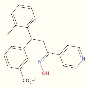 Cc1ccccc1C(CC(=NO)c1ccncc1)c1cccc(C(=O)O)c1